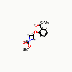 COC(=O)c1ccccc1OC1CN(C(=O)OC(C)(C)C)C1